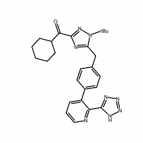 CCCCn1nc(C(=O)C2CCCCC2)nc1Cc1ccc(-c2cccnc2-c2nnn[nH]2)cc1